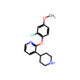 COc1ccc(Oc2ncccc2C2CCNCC2)c(F)c1